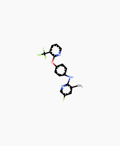 Cc1cc(F)cnc1Nc1ccc(Oc2ncccc2C(F)(F)F)cc1